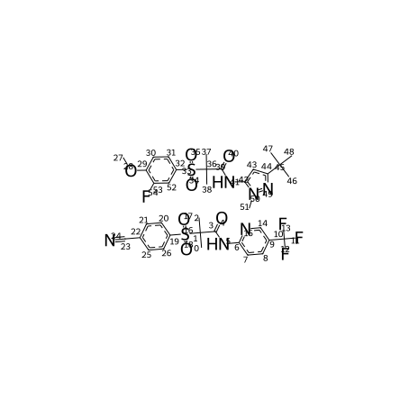 CC(C)(C(=O)Nc1ccc(C(F)(F)F)cn1)S(=O)(=O)c1ccc(C#N)cc1.COc1ccc(S(=O)(=O)C(C)(C)C(=O)Nc2cc(C(C)(C)C)nn2C)cc1F